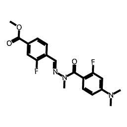 COC(=O)c1ccc(/C=N/N(C)C(=O)c2ccc(N(C)C)cc2F)c(F)c1